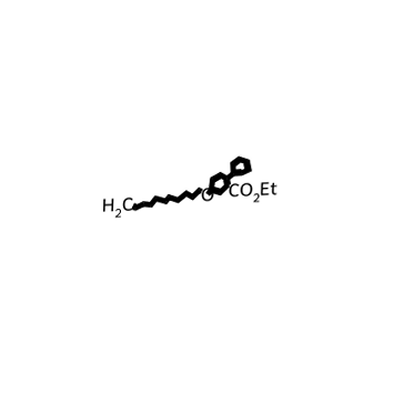 C=CCCCCCCCCCOc1ccc(-c2ccccc2)c(C(=O)OCC)c1